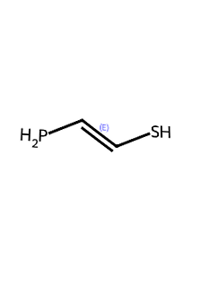 P/C=C/S